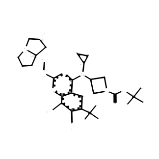 CC(C)(C)OC(=O)N1CC(N(c2nc(OC[C@]34CCCN3C[C@H](F)C4)nc3c(F)c(Br)c(C(F)(F)F)cc23)C2CC2)C1